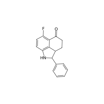 O=C1CCC2c3c(ccc(F)c31)NC2c1ccccc1